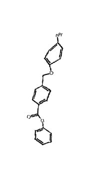 CCCc1ccc(OCc2ccc(C(=O)Oc3ccccc3)cc2)cc1